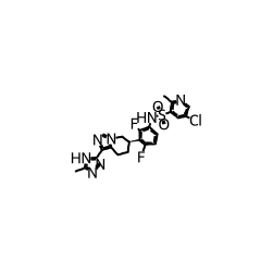 Cc1nnc(-c2ncn3c2CC[C@H](c2c(F)ccc(NS(=O)(=O)c4cc(Cl)cnc4C)c2F)C3)[nH]1